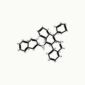 c1ccc(-c2c3ccccc3c(Oc3ccc4ccccc4c3)c3c2ncc2ccccc23)cc1